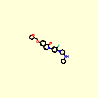 O=c1c2ccc(OC[C@H]3CCCO3)cc2ccn1-c1ccc(N2CCC(NC3CCCC3)C2)c(F)c1